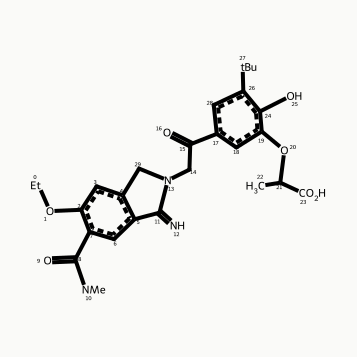 CCOc1cc2c(cc1C(=O)NC)C(=N)N(CC(=O)c1cc(OC(C)C(=O)O)c(O)c(C(C)(C)C)c1)C2